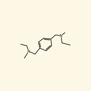 CCN(C)Cc1ccc(CN(C)CC)cc1